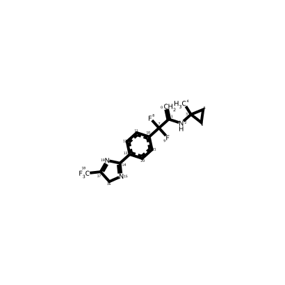 C=C(NC1(C)CC1)C(F)(F)c1ccc(C2=NCC(C(F)(F)F)=N2)cc1